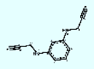 C#CCNc1cccc(NCC#C)c1